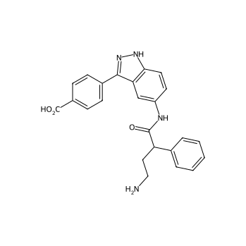 NCCC(C(=O)Nc1ccc2[nH]nc(-c3ccc(C(=O)O)cc3)c2c1)c1ccccc1